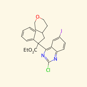 CCOC(=O)C(CC1CCOCC1)(c1ccccc1)c1nc(Cl)nc2ccc(I)cc12